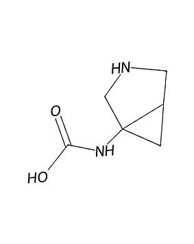 O=C(O)NC12CNCC1C2